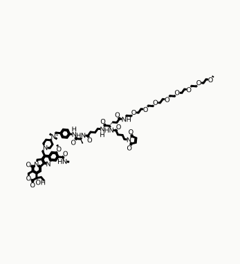 CC[C@@]1(O)C(=O)OCc2c1cc1n(c2=O)Cc2c-1nc1cc(C(=O)NC)c(OC)cc1c2CN1CCC([N+](C)(C)Cc2ccc(NC(=O)[C@H](C)NC(=O)CCCNC(=O)[C@H](CCC(=O)NCCOCCOCCOCCOCCOCCOCCOCCOC)NC(=O)CCCN3C(=O)C=CC3=O)cc2)CC1